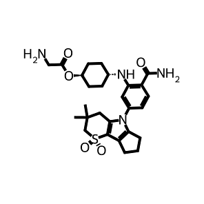 CC1(C)Cc2c(c3c(n2-c2ccc(C(N)=O)c(N[C@H]4CC[C@H](OC(=O)CN)CC4)c2)CCC3)S(=O)(=O)C1